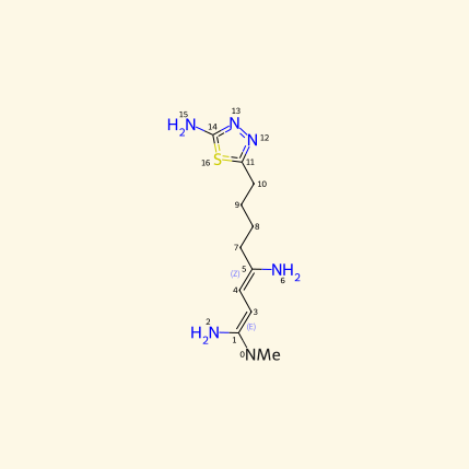 CN/C(N)=C/C=C(\N)CCCCc1nnc(N)s1